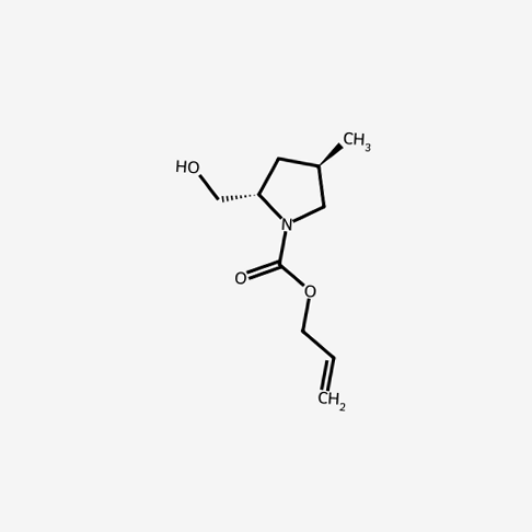 C=CCOC(=O)N1C[C@H](C)C[C@H]1CO